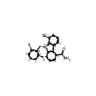 NC(=O)c1cccc2c1c1[c]ccc(Cl)c1n2Cc1c(F)cccc1F